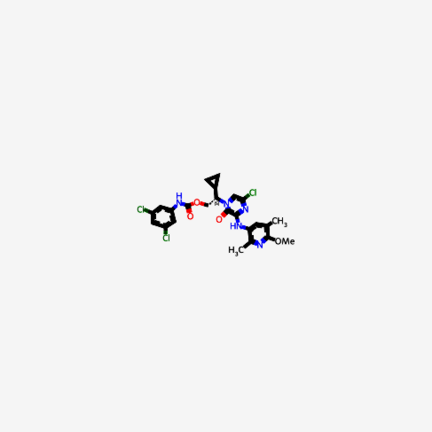 COc1nc(C)c(Nc2nc(Cl)cn([C@H](COC(=O)Nc3cc(Cl)cc(Cl)c3)C3CC3)c2=O)cc1C